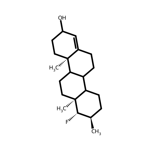 C[C@@H]1CCC2C3CCC4=CC(O)CC[C@]4(C)C3CC[C@]2(C)[C@H]1F